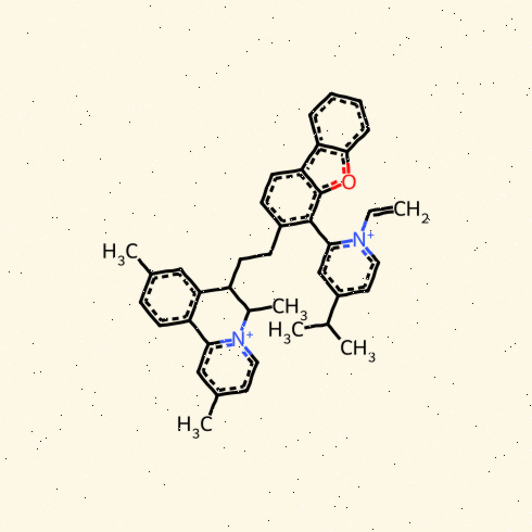 C=C[n+]1ccc(C(C)C)cc1-c1c(CCC2c3cc(C)ccc3-c3cc(C)cc[n+]3C2C)ccc2c1oc1ccccc12